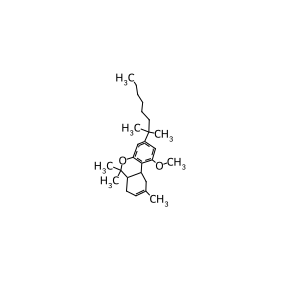 CCCCCCC(C)(C)c1cc(OC)c2c(c1)OC(C)(C)C1CC=C(C)CC21